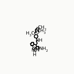 C=N/C=C\C(OC)=C(/C)[C@H]1CC[C@H](NCCC(c2ccccc2)c2cc(N)nc3[nH]nnc23)CC1